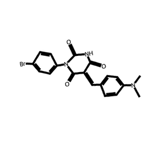 CN(C)c1ccc(C=C2C(=O)NC(=O)N(c3ccc(Br)cc3)C2=O)cc1